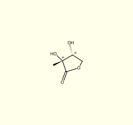 C[C@]1(O)C(=O)OC[C@H]1O